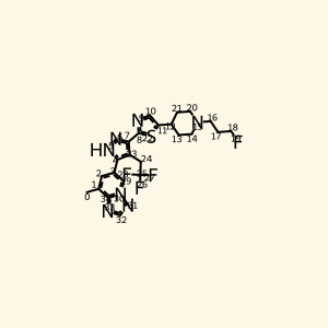 Cc1cc(-c2[nH]nc(-c3ncc(C4CCN(CCCF)CC4)s3)c2CC(F)(F)F)cn2ncnc12